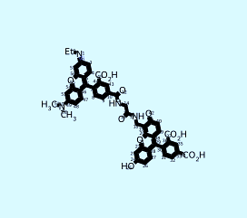 CC/N=c1/ccc2c(-c3ccc(C(=O)NCC(=O)NCc4c5oc6cc(O)ccc6c(-c6ccc(C(=O)O)cc6C(=O)O)c-5ccc4=O)cc3C(=O)O)c3ccc(N(C)C)cc3oc-2c1